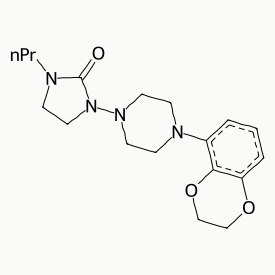 CCCN1CCN(N2CCN(c3cccc4c3OCCO4)CC2)C1=O